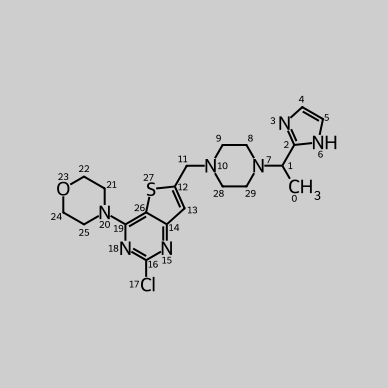 CC(c1ncc[nH]1)N1CCN(Cc2cc3nc(Cl)nc(N4CCOCC4)c3s2)CC1